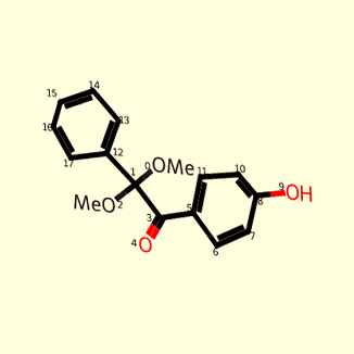 COC(OC)(C(=O)c1ccc(O)cc1)c1ccccc1